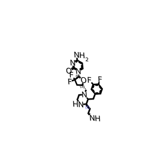 N=C/C=C1\NCCN(C[C@@H]2CC(F)(F)[C@H](n3ccc(N)nc3=O)O2)C1Cc1ccc(F)c(F)c1